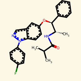 CC(C)C(=O)N[C@@H](C)[C@@H](Oc1ccc2c(cnn2-c2ccc(F)cc2)c1)c1ccccc1